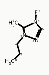 CCCN1N=CN(F)C1C